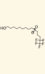 O=S(=O)(CCCCCCCCCO)CCCC(F)(F)C(F)(F)F